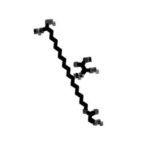 C=C(C)C(=O)O.C=CC(=O)OCCCCCCCCCCCCCCCCCC(C)C